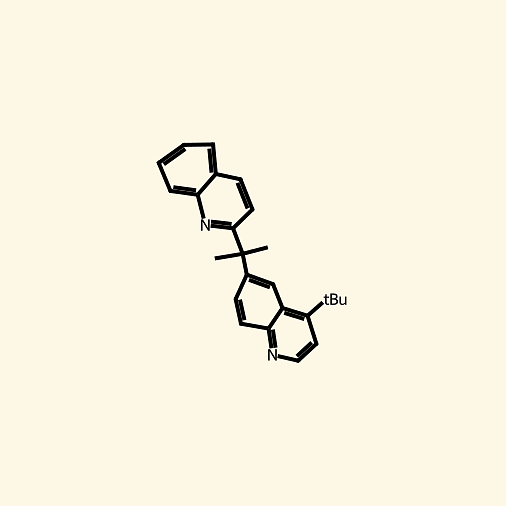 CC(C)(C)c1ccnc2ccc(C(C)(C)c3ccc4ccccc4n3)cc12